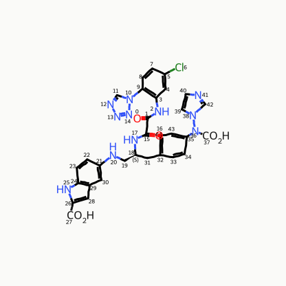 O=C(Nc1cc(Cl)ccc1-n1cnnn1)C(=O)N[C@H](CNc1ccc2[nH]c(C(=O)O)cc2c1)Cc1ccc(N(C(=O)O)n2ccnc2)cc1